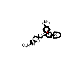 C[C@]1(COc2ccc(N3C4CCC3CC(Oc3ccc(OC(F)(F)F)cc3)C4)cc2)Cn2cc([N+](=O)[O-])nc2O1